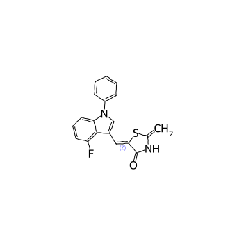 C=c1[nH]c(=O)/c(=C/c2cn(-c3ccccc3)c3cccc(F)c23)s1